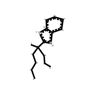 CCCCC(C)(CCC)c1nc2ccccc2s1